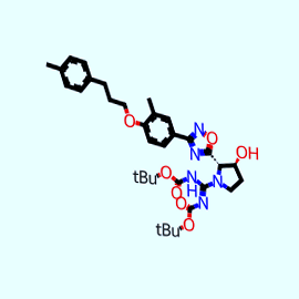 Cc1ccc(CCCOc2ccc(-c3noc([C@@H]4[C@@H](O)CCN4/C(=N/C(=O)OC(C)(C)C)NC(=O)OC(C)(C)C)n3)cc2C)cc1